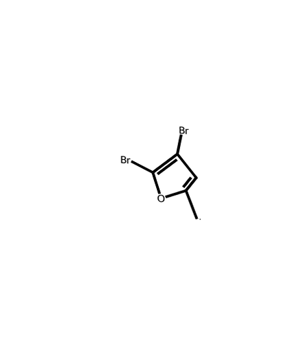 [CH2]c1cc(Br)c(Br)o1